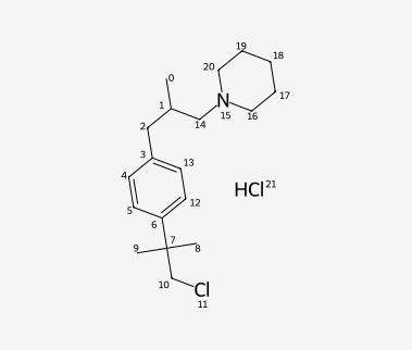 CC(Cc1ccc(C(C)(C)CCl)cc1)CN1CCCCC1.Cl